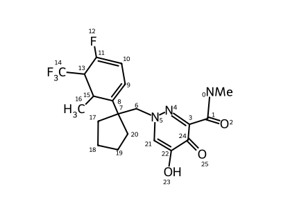 CNC(=O)c1nn(CC2(C3=CC=C(F)C(C(F)(F)F)C3C)CCCC2)cc(O)c1=O